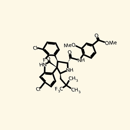 COC(=O)c1ccc(NC(=O)[C@@H]2N[C@@H](CC(C)(C)C(F)(F)F)[C@@]3(C(=O)Nc4cc(Cl)ccc43)[C@H]2c2cccc(Cl)c2F)c(OC)c1